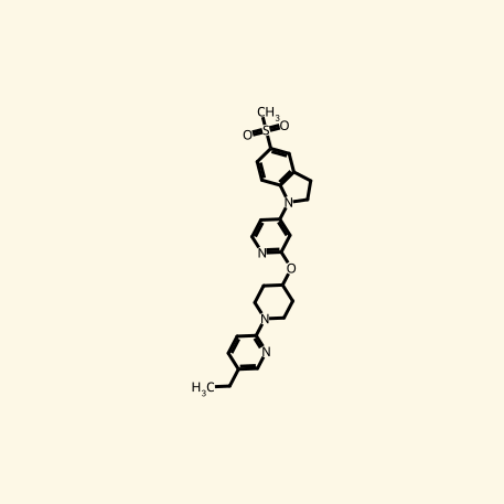 CCc1ccc(N2CCC(Oc3cc(N4CCc5cc(S(C)(=O)=O)ccc54)ccn3)CC2)nc1